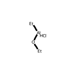 CC[O][Al][CH2]C.Cl